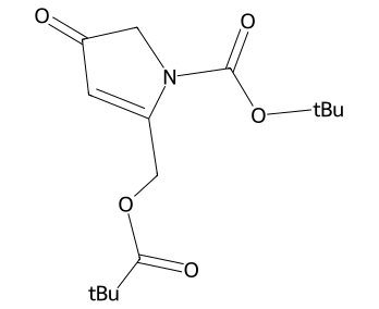 CC(C)(C)OC(=O)N1CC(=O)C=C1COC(=O)C(C)(C)C